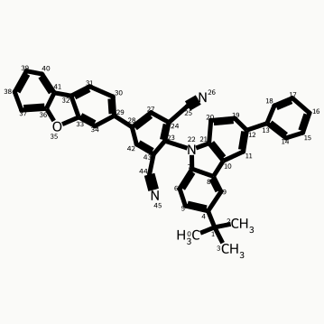 CC(C)(C)c1ccc2c(c1)c1cc(-c3ccccc3)ccc1n2-c1c(C#N)cc(-c2ccc3c(c2)oc2ccccc23)cc1C#N